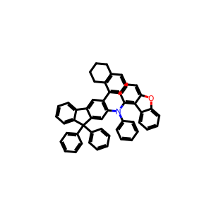 c1ccc(N(c2cc3c(cc2-c2cccc4c2CCCC4)-c2ccccc2C3(c2ccccc2)c2ccccc2)c2cccc3oc4ccccc4c23)cc1